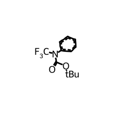 CC(C)(C)OC(=O)N(c1ccccc1)C(F)(F)F